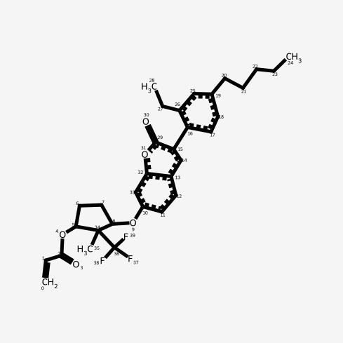 C=CC(=O)OC1CCC(Oc2ccc3cc(-c4ccc(CCCCC)cc4CC)c(=O)oc3c2)C1(C)C(F)(F)F